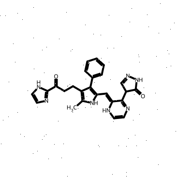 Cc1[nH]c(C=C2NC=CN=C2C2C=NNC2=O)c(-c2ccccc2)c1CCC(=O)c1ncc[nH]1